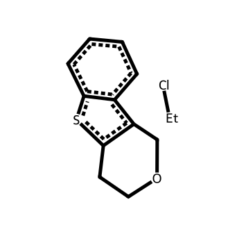 CCCl.c1ccc2c3c(sc2c1)CCOC3